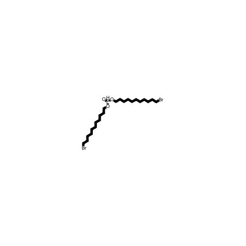 O=[PH](OCCCCCCCCCCCBr)OCCCCCCCCCCCBr